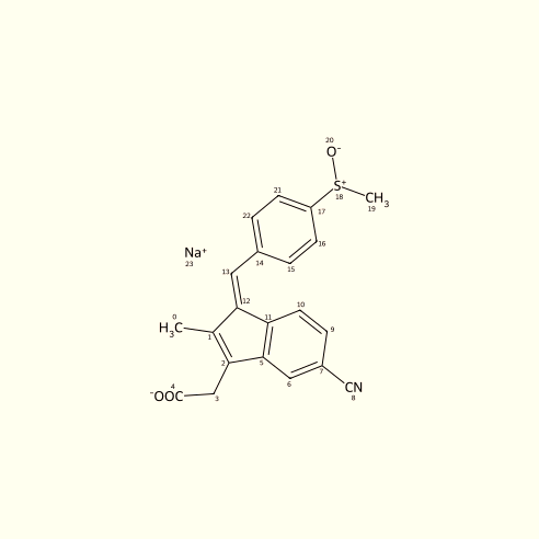 CC1=C(CC(=O)[O-])c2cc(C#N)ccc2C1=Cc1ccc([S+](C)[O-])cc1.[Na+]